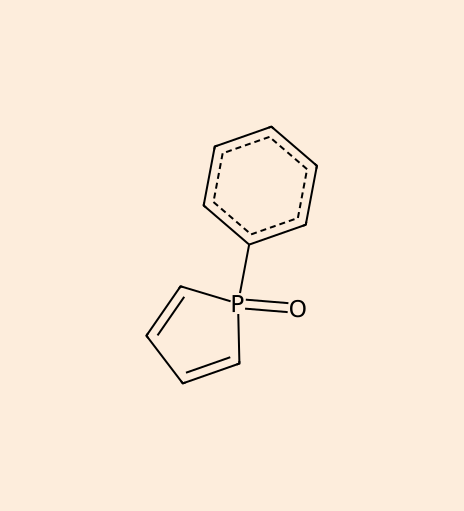 O=P1(c2ccccc2)C=CC=C1